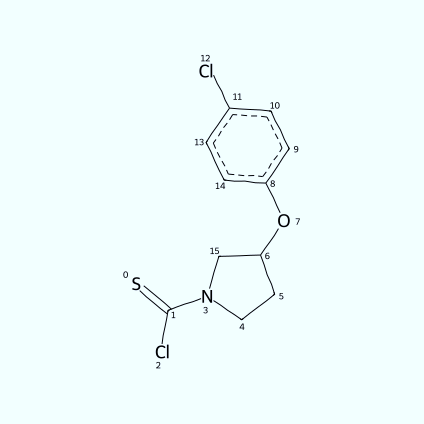 S=C(Cl)N1CCC(Oc2ccc(Cl)cc2)C1